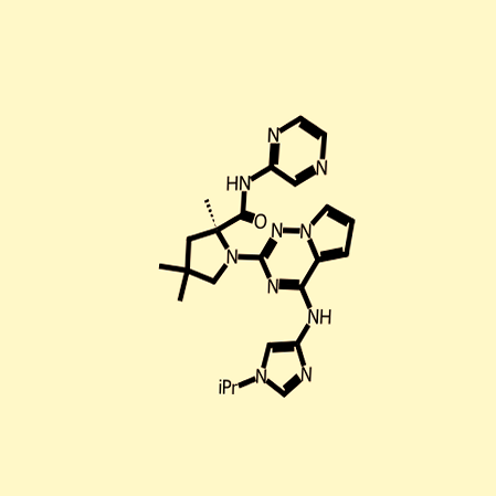 CC(C)n1cnc(Nc2nc(N3CC(C)(C)C[C@@]3(C)C(=O)Nc3cnccn3)nn3cccc23)c1